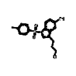 Cc1ccc(S(=O)(=O)n2cc(CCCCl)c3cc(C#N)ccc32)cc1